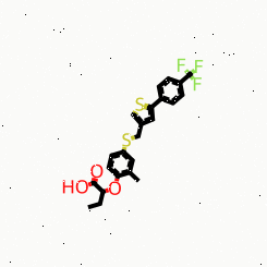 CCC(Oc1ccc(SCc2csc(-c3ccc(C(F)(F)F)cc3)c2)cc1C)C(=O)O